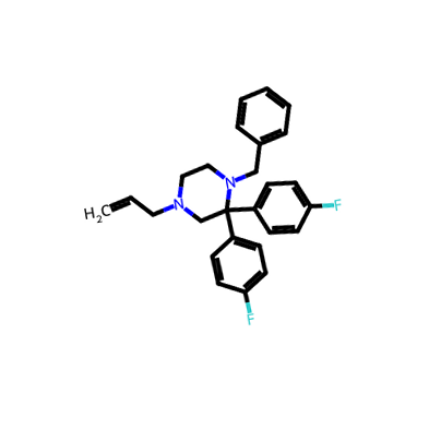 C=CCN1CCN(Cc2ccccc2)C(c2ccc(F)cc2)(c2ccc(F)cc2)C1